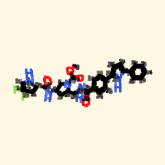 COC(=O)N1C[C@H](NC(=O)[C@@H]2CC(F)(F)CN2)C[C@@H]1CNC(=O)c1ccc(-c2ccc(-c3ccccc3)[nH]2)cc1